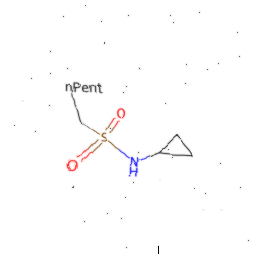 CCCCCCS(=O)(=O)NC1CC1